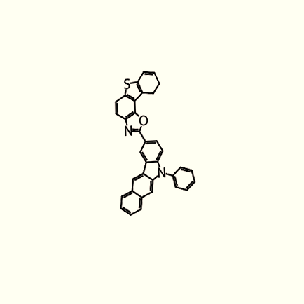 C1=Cc2sc3ccc4nc(-c5ccc6c(c5)c5cc7ccccc7cc5n6-c5ccccc5)oc4c3c2CC1